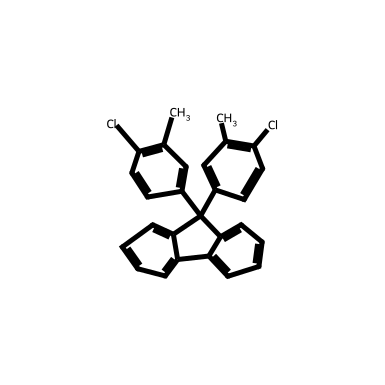 Cc1cc(C2(c3ccc(Cl)c(C)c3)c3ccccc3-c3ccccc32)ccc1Cl